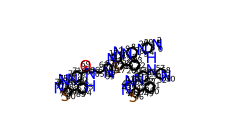 CN(C)C1CCN(C2CCN(c3ncnc4scc(-c5ccccc5)c34)CC2)CC1.CN1CCC(NC2CCN(c3ncnc4scc(-c5ccccc5)c34)CC2)CC1.CN1CCCC1CCNC(=O)C1CCN(c2ncnc3scc(-c4ccccc4)c23)CC1